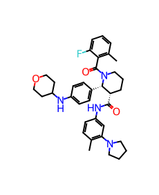 Cc1ccc(NC(=O)[C@H]2CCCN(C(=O)c3c(C)cccc3F)[C@H]2c2ccc(NC3CCOCC3)cc2)cc1N1CCCC1